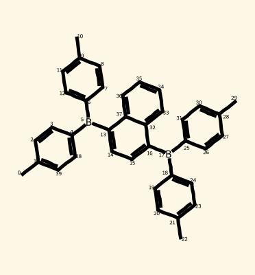 Cc1ccc(B(c2ccc(C)cc2)c2ccc(B(c3ccc(C)cc3)c3ccc(C)cc3)c3ccccc23)cc1